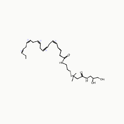 CC/C=C\C/C=C\C/C=C\C/C=C\C/C=C\CCCC(=O)NCCSSC(C)(C)CC(=O)NCC(O)CO